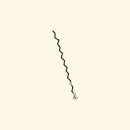 CCCCCCCCCCCCCCCCOCCOO